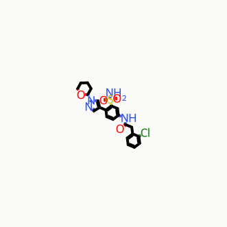 NS(=O)(=O)c1cc(NC(=O)Cc2ccccc2Cl)ccc1-c1cnn(C2CCCCO2)c1